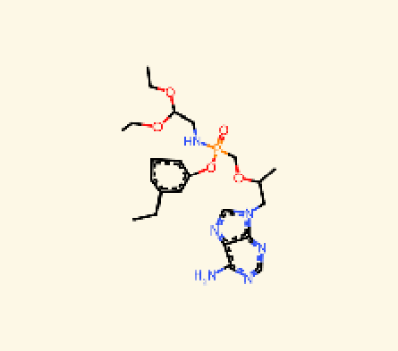 CCOC(CNP(=O)(COC(C)Cn1cnc2c(N)ncnc21)Oc1cccc(CC)c1)OCC